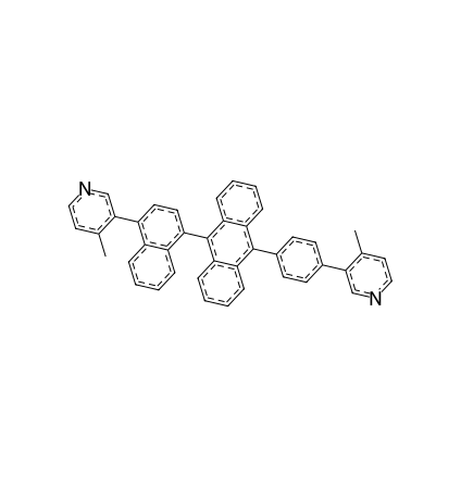 Cc1ccncc1-c1ccc(-c2c3ccccc3c(-c3ccc(-c4cnccc4C)c4ccccc34)c3ccccc23)cc1